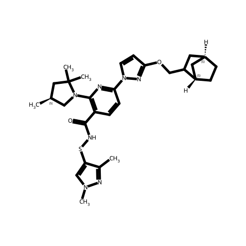 Cc1nn(C)cc1SNC(=O)c1ccc(-n2ccc(OCC3C[C@H]4CC[C@H]3C4)n2)nc1N1C[C@@H](C)CC1(C)C